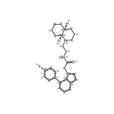 O=C(Cn1ccc2cccc(-c3ccc(F)cc3)c21)NCCN1CCC[C@H]2CCCC[C@H]21